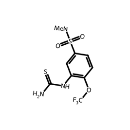 CNS(=O)(=O)c1ccc(OC(F)(F)F)c(NC(N)=S)c1